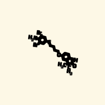 CC1(C)C(=O)Nc2ccc(OCCCCSc3cc(Br)c(N)c(Br)c3)cc21